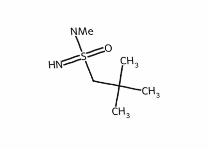 CNS(=N)(=O)CC(C)(C)C